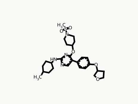 CC1CCC(Nc2ncc(-c3ccc(OC4CCOC4)cc3)c(OC3CCN(S(C)(=O)=O)CC3)n2)CC1